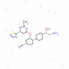 Cc1nc(Oc2cc(C#N)ccc2-c2ccc(C(O)CN)cn2)cc(-c2nccs2)n1